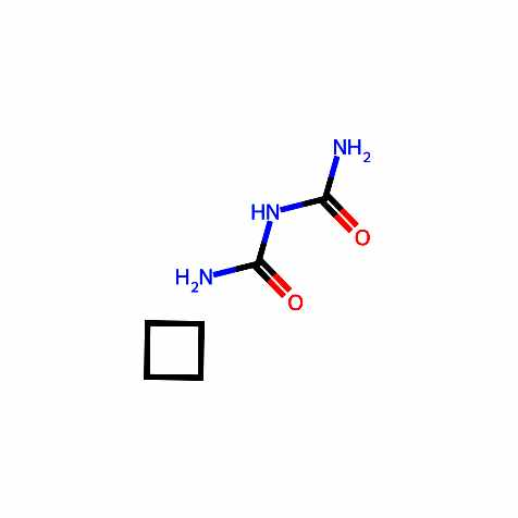 C1CCC1.NC(=O)NC(N)=O